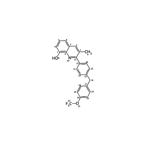 Cc1cc2cccc(O)c2nc1-c1ccc(Cc2ccc(OC(F)(F)F)cc2)cc1